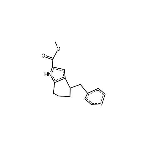 COC(=O)c1cc2c([nH]1)CCCC2Cc1ccccc1